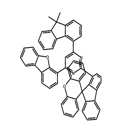 CC1(C)c2ccccc2-c2c(-c3cc(-c4cccc5c4oc4ccccc45)nc(-c4cccc5c4C4(c6ccccc6Oc6ccccc64)c4ccccc4-5)n3)cccc21